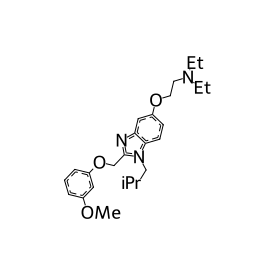 CCN(CC)CCOc1ccc2c(c1)nc(COc1cccc(OC)c1)n2CC(C)C